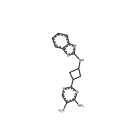 Nc1cnc(C2CC(Nc3nc4ccccc4s3)C2)nc1N